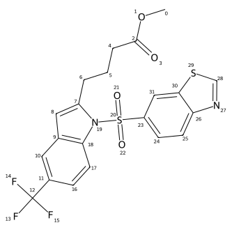 COC(=O)CCCc1cc2cc(C(F)(F)F)ccc2n1S(=O)(=O)c1ccc2ncsc2c1